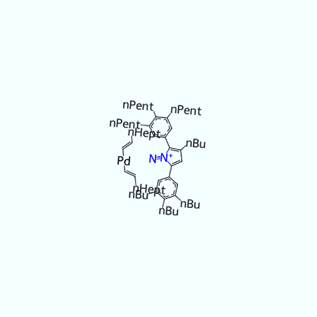 CCCCCCCC=[CH][Pd][CH]=CCCCCCCC.CCCCCc1cc(C2=C(CCCC)C=C(c3cc(CCCC)c(CCCC)c(CCCC)c3)[N+]2=[N-])cc(CCCCC)c1CCCCC